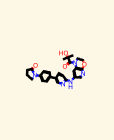 CC(C)(O)C(=O)N1CCOc2ncc(Nc3ccc(-c4ccc(N5CCCC5=O)cc4)cn3)cc21